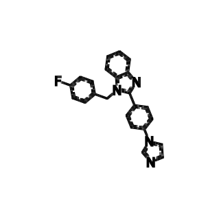 Fc1ccc(Cn2c(-c3ccc(-n4ccnc4)cc3)nc3ccccc32)cc1